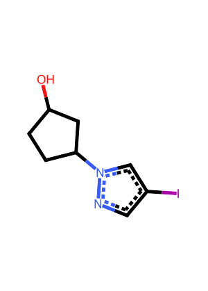 OC1CCC(n2cc(I)cn2)C1